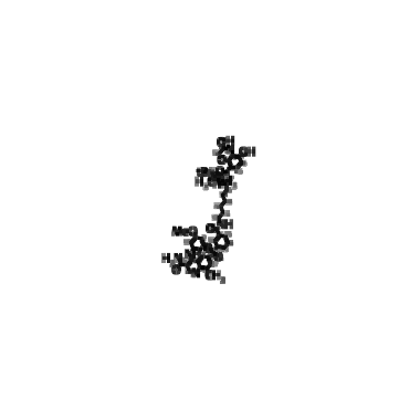 COc1cccc(Nc2c(C(N)=O)cnc3c(C)cc(S(=O)(=O)c4cccc(C(=O)NCCCCCCNC[C@H](O[Si](C)(C)C(C)(C)C)c5ccc(O)c6c5OCC(=O)N6)c4)cc23)c1